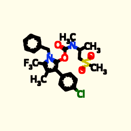 Cc1c(-c2ccc(Cl)cc2)c(OC(=O)N(C)C(C)CS(C)(=O)=O)n(Cc2ccccc2)c1C(F)(F)F